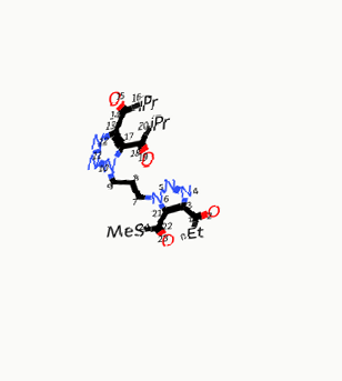 CCC(=O)c1nnn(CCCn2nnc(C(=O)C(C)C)c2C(=O)C(C)C)c1C(=O)SC